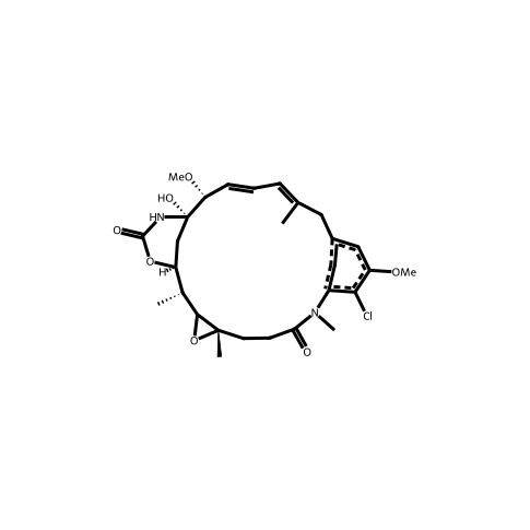 COc1cc2cc(c1Cl)N(C)C(=O)CC[C@]1(C)OC1[C@H](C)[C@@H]1C[C@@](O)(NC(=O)O1)[C@H](OC)/C=C/C=C(\C)C2